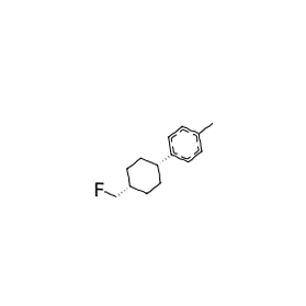 Cc1ccc([C@H]2CC[C@@H](CF)CC2)cc1